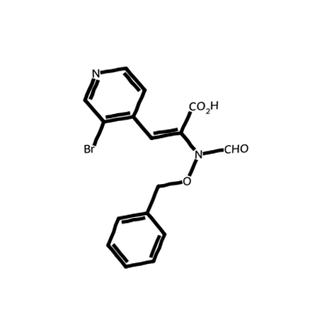 O=CN(OCc1ccccc1)C(=Cc1ccncc1Br)C(=O)O